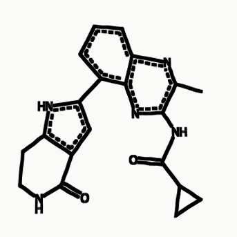 Cc1nc2cccc(-c3cc4c([nH]3)CCNC4=O)c2nc1NC(=O)C1CC1